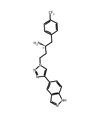 N[C@H](CCn1cc(-c2ccc3[nH]ncc3c2)nn1)Cc1ccc(C(F)(F)F)cc1